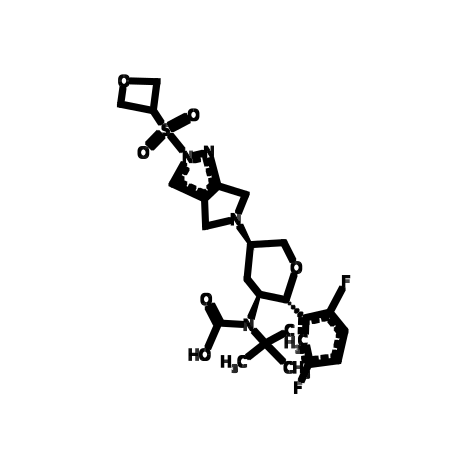 CC(C)(C)N(C(=O)O)[C@H]1C[C@@H](N2Cc3cn(S(=O)(=O)C4COC4)nc3C2)CO[C@@H]1c1cc(F)ccc1F